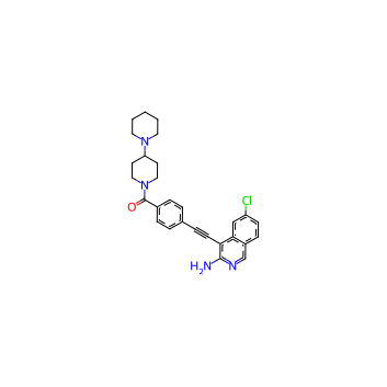 Nc1ncc2ccc(Cl)cc2c1C#Cc1ccc(C(=O)N2CCC(N3CCCCC3)CC2)cc1